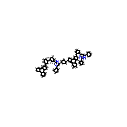 c1ccc(-c2cc(-c3ccc(-c4ccc5c(c4)c4ccccc4c4ccc(-c6ccccc6-c6cc(-c7ccccc7)nc(-c7ccccc7)n6)cc45)cc3)nc(-c3cccc(-c4cccc(-c5ccc6c7ccccc7c7ccccc7c6c5)c4)c3)n2)cc1